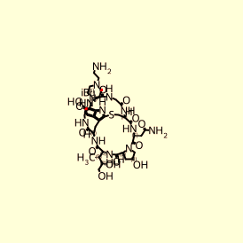 CC[C@H](C)[C@@H]1NC(=O)CNC(=O)[C@H]2Cc3c([nH]c4c(N5CCN(CCN)CC5)c(O)ccc34)SC[C@H](NC(=O)CNC1=O)C(=O)N[C@@H](CC(N)=O)C(=O)N1C[C@H](O)C[C@H]1C(=O)N[C@@H]([C@@H](C)[C@@H](O)CO)C(=O)N2